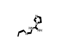 C/C=C\N=C/NC(=N)n1ccnc1